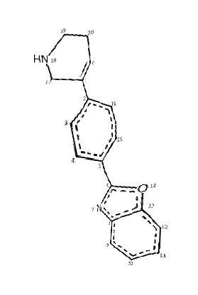 C1=C(c2ccc(-c3nc4ccccc4o3)cc2)CNCC1